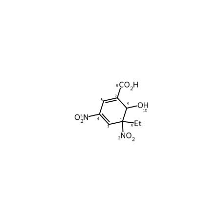 CCC1([N+](=O)[O-])C=C([N+](=O)[O-])C=C(C(=O)O)C1O